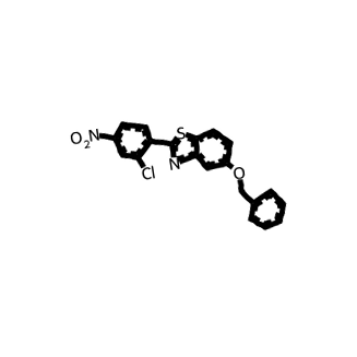 O=[N+]([O-])c1ccc(-c2nc3cc(OCc4ccccc4)ccc3s2)c(Cl)c1